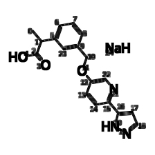 CC(C(=O)O)c1cccc(COc2ccc(-c3ccn[nH]3)nc2)c1.[NaH]